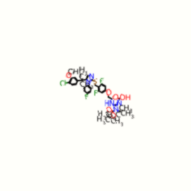 COc1cc(C(C)(C)c2cnc(SCc3c(F)cc(OCCNC(=NC(=O)O)N(C(=O)OC(C)(C)C)C(C)(C)C)cc3F)n2-c2ccc(F)cc2)ccc1Cl